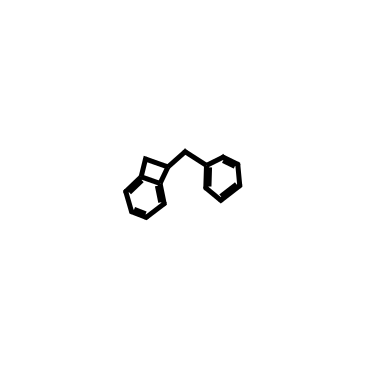 [c]1ccccc1[CH]C1Cc2ccccc21